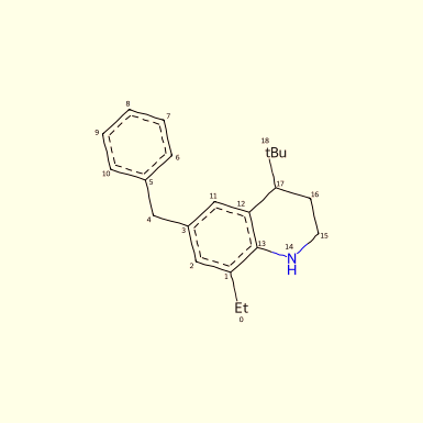 CCc1cc(Cc2ccccc2)cc2c1NCCC2C(C)(C)C